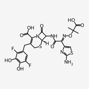 CC(C)(ON=C(C(=O)NC1C(=O)N2C(C(=O)O)=C(Cc3cc(F)c(O)c(O)c3F)CS[C@@H]12)c1csc(N)n1)C(=O)O